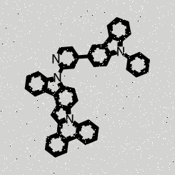 c1ccc(-n2c3ccccc3c3cc(-c4ccnc(-n5c6ccccc6c6c7cc8c9ccccc9c9ccccc9n8c7ccc65)c4)ccc32)cc1